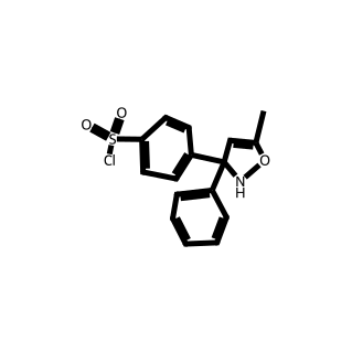 CC1=CC(c2ccccc2)(c2ccc(S(=O)(=O)Cl)cc2)NO1